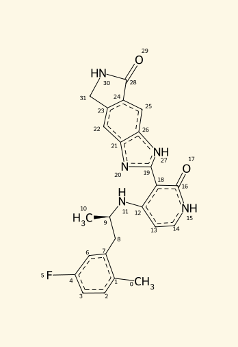 Cc1ccc(F)cc1C[C@@H](C)Nc1cc[nH]c(=O)c1-c1nc2cc3c(cc2[nH]1)C(=O)NC3